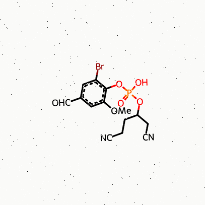 COc1cc(C=O)cc(Br)c1OP(=O)(O)OC(CC#N)CCC#N